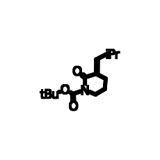 CC(C)C=C1CCCN(C(=O)OC(C)(C)C)C1=O